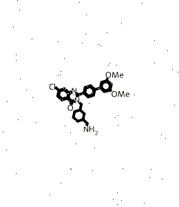 COc1cc(OC)cc(-c2ccc(-c3nc4cc(Cl)ccc4c(=O)n3CC3CCCC(CN)C3)cc2)c1